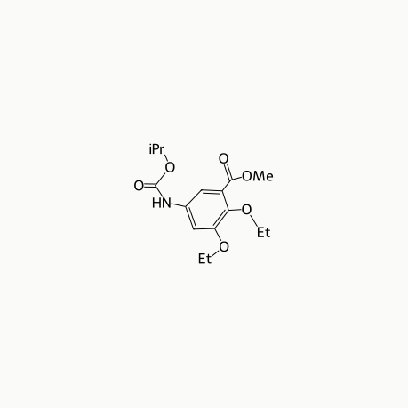 CCOc1cc(NC(=O)OC(C)C)cc(C(=O)OC)c1OCC